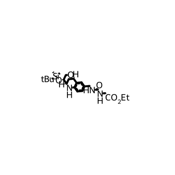 CCOC(=O)CNC(=O)NCc1ccc2c(c1)[C@H]1C[C@@H](N2)[C@H](O[Si](C)(C)C(C)(C)C)CO1